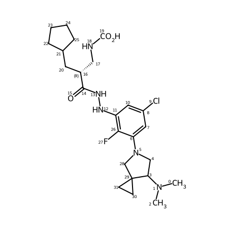 CN(C)C1CN(c2cc(Cl)cc(NNC(=O)[C@@H](CNC(=O)O)CC3CCCC3)c2F)CC12CC2